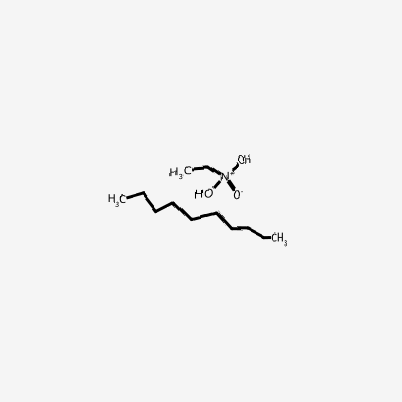 CCCCCCCCCC.CC[N+]([O-])(O)O